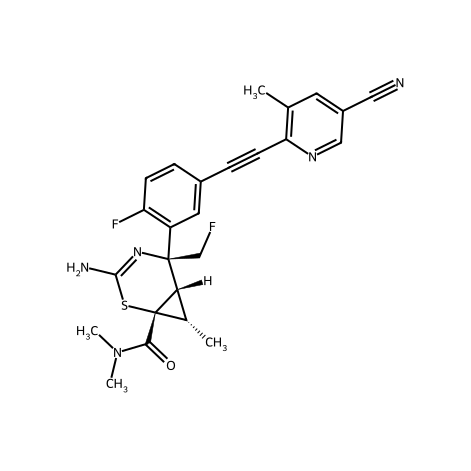 Cc1cc(C#N)cnc1C#Cc1ccc(F)c([C@@]2(CF)N=C(N)S[C@]3(C(=O)N(C)C)[C@H]2[C@@H]3C)c1